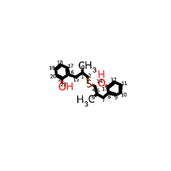 CC(CSCC(C)Cc1ccccc1O)Cc1ccccc1O